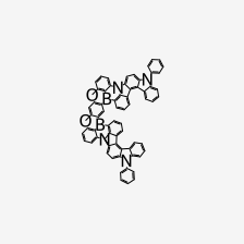 c1ccc(-n2c3ccccc3c3c4c5cccc6c5n(c4ccc32)-c2cccc3c2B6c2cc4c(cc2O3)Oc2cccc3c2B4c2cccc4c5c6c7ccccc7n(-c7ccccc7)c6ccc5n-3c24)cc1